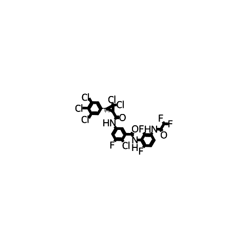 O=C(Nc1c(F)ccc(NC(=O)C(F)F)c1F)c1cc(NC(=O)C2[C@H](c3cc(Cl)c(Cl)c(Cl)c3)C2(Cl)Cl)cc(F)c1Cl